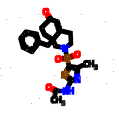 CC(=O)Nc1nc(C)c(S(=O)(=O)N2CCC3=CC(=O)CCC3(Cc3ccccc3)C2)s1